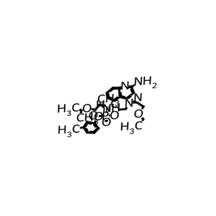 CCOCc1nc2c(N)nc3ccccc3c2n1C[C@@H](C)O[P@@](=O)(N[C@@H](C)C(=O)OC(C)C)Oc1cccc(C)c1